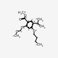 CCCCOc1cc(OCOC)c(C(=O)OC)cc1C(C)C